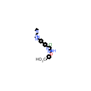 O=C(O)C[C@H]1CC[C@H](Oc2nc3nc(-c4ccc(-c5ccc(-c6ncn(CCN7CCC7)n6)cc5)cc4)c(Cl)cc3[nH]2)CC1